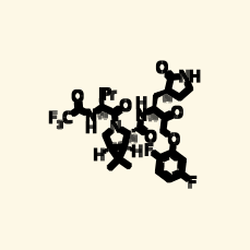 CC(C)[C@H](NC(=O)C(F)(F)F)C(=O)N1C[C@H]2[C@@H]([C@H]1C(=O)N[C@@H](C[C@@H]1CCNC1=O)C(=O)COc1cc(F)ccc1F)C2(C)C